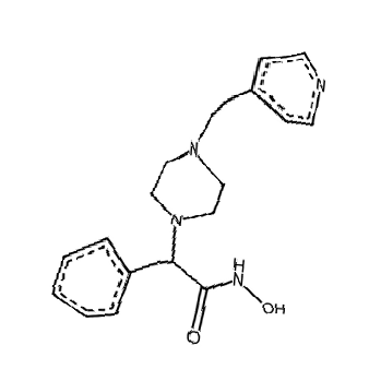 O=C(NO)C(c1ccccc1)N1CCN(Cc2ccncc2)CC1